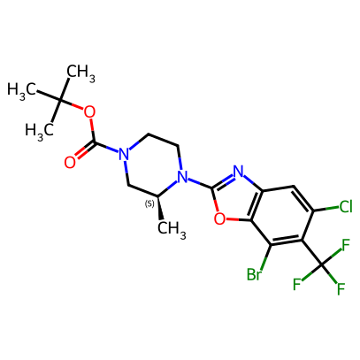 C[C@H]1CN(C(=O)OC(C)(C)C)CCN1c1nc2cc(Cl)c(C(F)(F)F)c(Br)c2o1